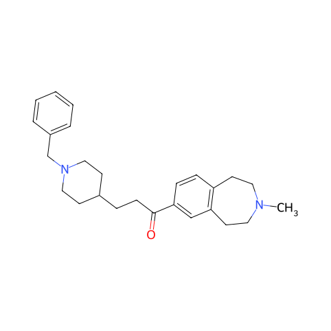 CN1CCc2ccc(C(=O)CCC3CCN(Cc4ccccc4)CC3)cc2CC1